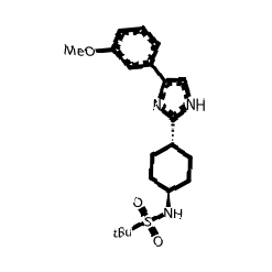 COc1cccc(-c2c[nH]c([C@H]3CC[C@H](NS(=O)(=O)C(C)(C)C)CC3)n2)c1